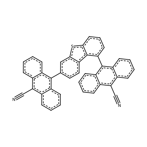 N#Cc1c2ccccc2c(-c2ccc3c(c2)sc2cccc(-c4c5ccccc5c(C#N)c5ccccc45)c23)c2ccccc12